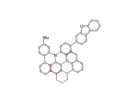 CC(C)(C)c1ccc(-c2ccccc2)c(N(c2ccc(-c3ccc4c(c3)oc3ccccc34)cc2)c2ccccc2-c2cccc3cccc(C4CCCCC4)c23)c1